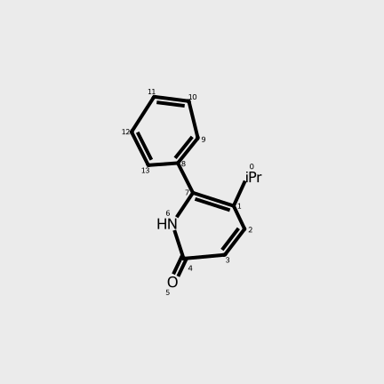 CC(C)c1ccc(=O)[nH]c1-c1ccccc1